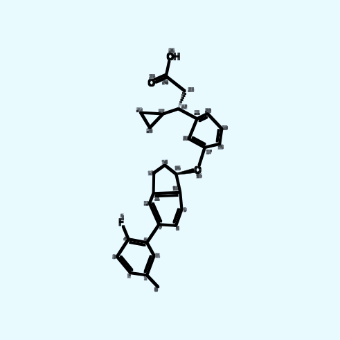 Cc1ccc(F)c(-c2ccc3c(c2)CC[C@H]3Oc2cccc([C@@H](CC(=O)O)C3CC3)c2)c1